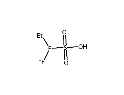 CCP(CC)S(=O)(=O)O